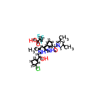 CC1CC(C)CN(C(=O)c2cccc3c(C[C@@H](C)NC[C@H](O)c4cccc(Cl)c4)c[nH]c23)C1.O=C(O)C(F)(F)F